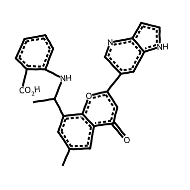 Cc1cc(C(C)Nc2ccccc2C(=O)O)c2oc(-c3cnc4cc[nH]c4c3)cc(=O)c2c1